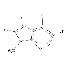 FC1=C(F)c2c(ccc(F)c2F)[C]1C(F)(F)F